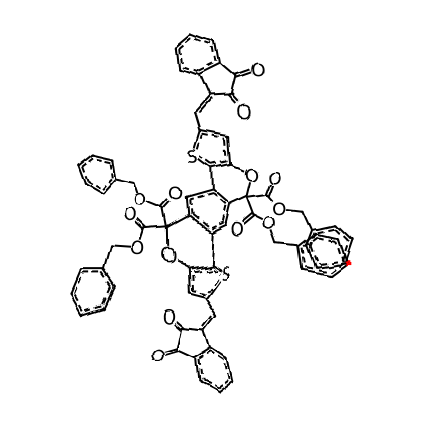 O=C1C(=O)c2ccccc2/C1=C/c1cc2c(s1)-c1cc3c(cc1C(C(=O)OCc1ccccc1)(C(=O)OCc1ccccc1)O2)-c1sc(/C=C2\C(=O)C(=O)c4ccccc42)cc1OC3(C(=O)OCc1ccccc1)C(=O)OCc1ccccc1